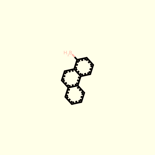 Bc1cccc2c1ccc1ccccc12